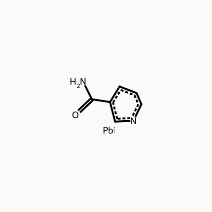 NC(=O)c1cccnc1.[Pb]